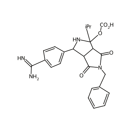 CC(C)C1(OC(=O)O)NC(c2ccc(C(=N)N)cc2)C2C(=O)N(Cc3ccccc3)C(=O)C21